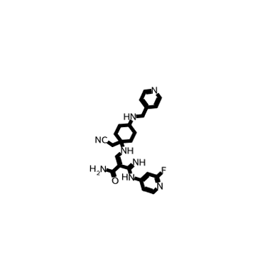 N#CCC1(N/C=C(\C(=N)Nc2ccnc(F)c2)C(N)=O)CCC(NCc2ccncc2)CC1